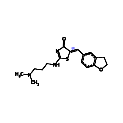 CN(C)CCCNC1=NC(=O)/C(=C/c2ccc3c(c2)CCO3)S1